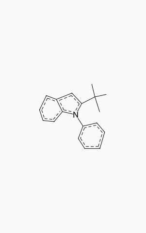 CC(C)(C)c1cc2ccccc2n1-c1ccccc1